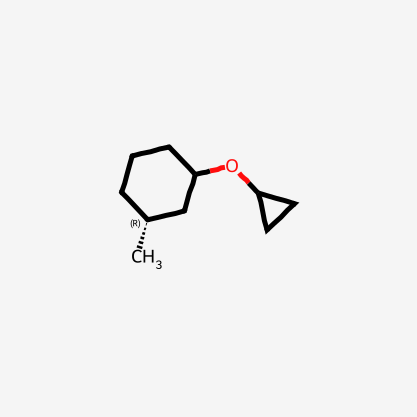 C[C@@H]1CCCC(OC2CC2)C1